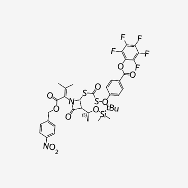 CC(C)=C(C(=O)OCc1ccc([N+](=O)[O-])cc1)N1C(=O)C([C@H](C)O[Si](C)(C)C(C)(C)C)C1SC(=O)SOc1ccc(C(=O)Oc2c(F)c(F)c(F)c(F)c2F)cc1